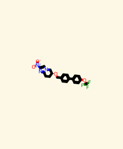 O=[N+]([O-])c1cn2c(n1)CC[C@@H](OCc1ccc(-c3ccc(OC(F)(F)F)cc3)cc1)C2